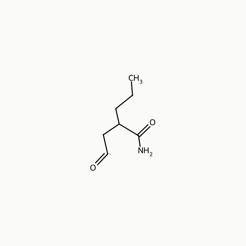 CCCC(C[C]=O)C(N)=O